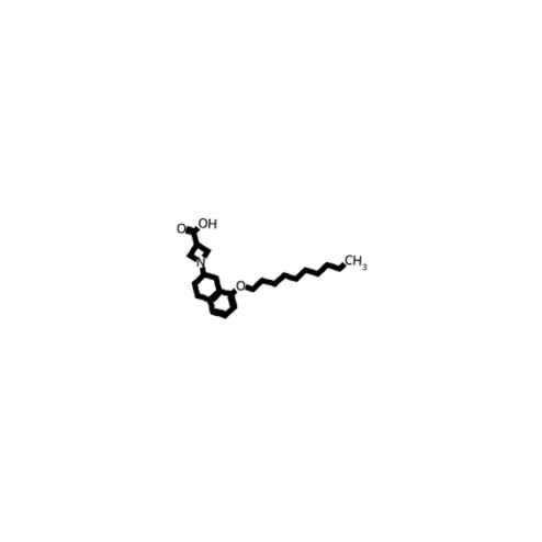 CCCCCCCCCCOc1cccc2c1CC(N1CC(C(=O)O)C1)CC2